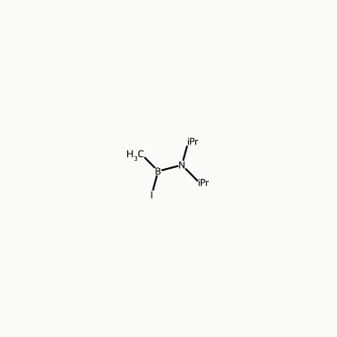 CB(I)N(C(C)C)C(C)C